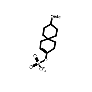 COC1CCC2(CC=C(OS(=O)(=O)C(F)(F)F)CC2)CC1